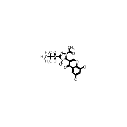 CC(=O)N1N=C(S(=O)(=O)C(C)(C)C)[S+]([O-])C1c1coc2c(Cl)cc(Cl)cc2c1=O